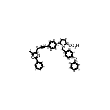 Cc1oc(-c2ccccc2)nc1CC#Cc1ccc([C@H]2CC[C@H](C(=O)O)N2Cc2ccc(Oc3ccccc3)cc2)cc1